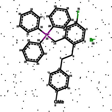 COc1ccc(CCc2ccc(F)cc2C[P+](c2ccccc2)(c2ccccc2)c2ccccc2)cc1.[Br-]